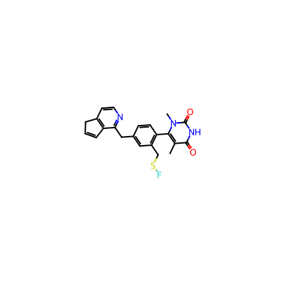 Cc1c(-c2ccc(Cc3nccc4c3C=CC4)cc2CSF)n(C)c(=O)[nH]c1=O